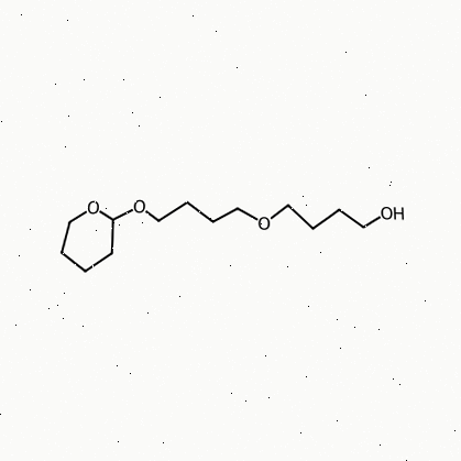 OCCCCOCCCCOC1CCCCO1